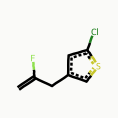 C=C(F)Cc1csc(Cl)c1